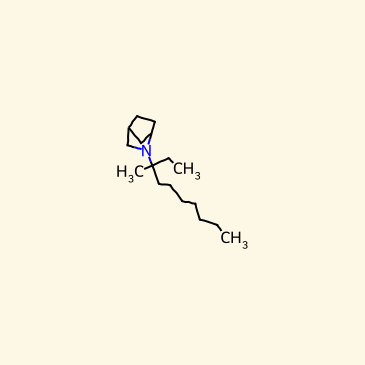 CCCCCCCC(C)(CC)N1CC2CCC1C2